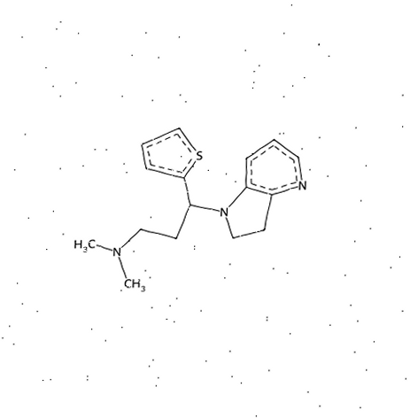 CN(C)CCC(c1cccs1)N1CCc2ncccc21